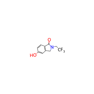 O=C1c2ccc(O)cc2CN1CC(F)(F)F